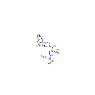 CCc1cnc(N2CCN(C(=O)c3ccc(N4C(=O)CCC4C)nc3C)CC2)c(C)c1